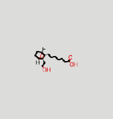 O=C(O)CCCCCC[C@H]1[C@@H](CCO)[C@H]2CC[C@@H]1O2